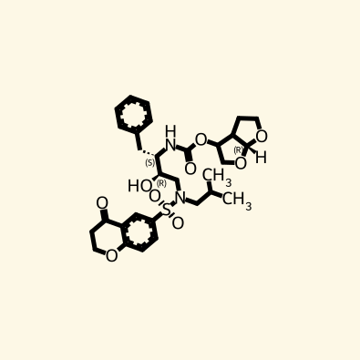 CC(C)CN(C[C@@H](O)[C@H](Cc1ccccc1)NC(=O)OC1CO[C@H]2OCCC12)S(=O)(=O)c1ccc2c(c1)C(=O)CCO2